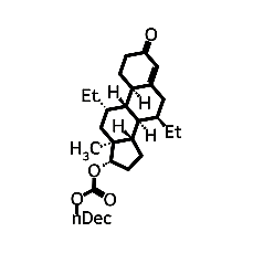 CCCCCCCCCCOC(=O)O[C@H]1CC[C@H]2[C@@H]3[C@H](CC)CC4=CC(=O)CC[C@@H]4[C@H]3[C@@H](CC)C[C@]12C